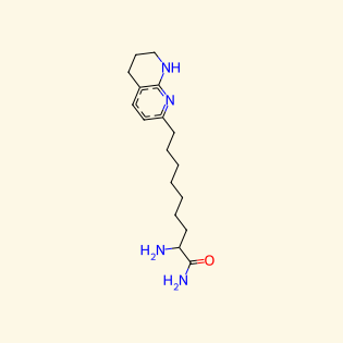 NC(=O)C(N)CCCCCCCc1ccc2c(n1)NCCC2